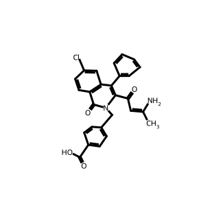 CC(N)=CC(=O)c1c(-c2ccccc2)c2cc(Cl)ccc2c(=O)n1Cc1ccc(C(=O)O)cc1